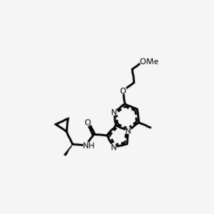 COCCOc1cc(C)n2cnc(C(=O)N[C@@H](C)C3CC3)c2n1